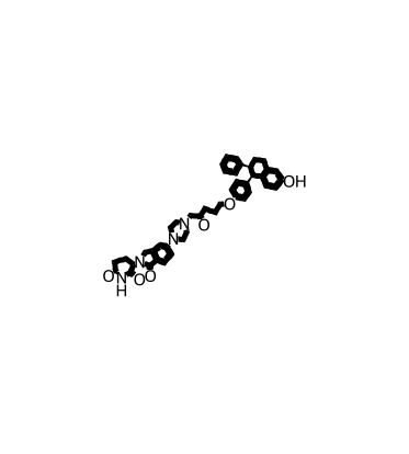 O=C(CCCOc1ccc([C@@H]2c3ccc(O)cc3CC[C@@H]2c2ccccc2)cc1)CN1CCN(c2ccc3c(c2)CN(C2CCC(=O)NC2=O)C3=O)CC1